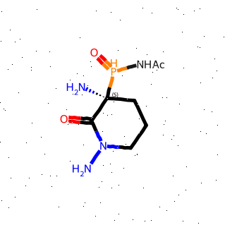 CC(=O)N[PH](=O)[C@@]1(N)CCCN(N)C1=O